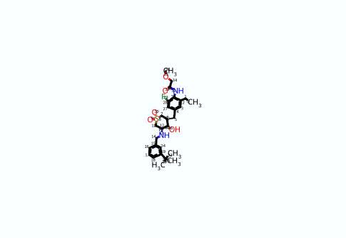 CCc1cc(C[C@@H]2CS(=O)(=O)C[C@H](NCc3cccc(C(C)(C)C)c3)[C@H]2O)cc(F)c1NC(=O)COC